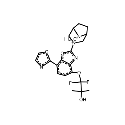 CC(C)(O)C(F)(F)Oc1ccc(-c2ncco2)c2oc(N3CC4CCC(C3)N4C(=O)O)nc12